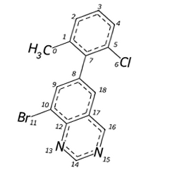 Cc1cccc(Cl)c1-c1cc(Br)c2ncncc2c1